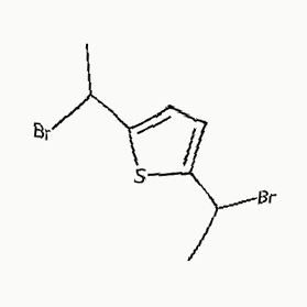 CC(Br)c1ccc(C(C)Br)s1